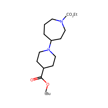 CCOC(=O)N1CCCC(N2CCC(C(=O)OC(C)(C)C)CC2)CC1